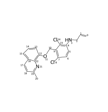 C=CCNc1ccc(Cl)c(COc2cccc3ccc(C)nc23)c1Cl